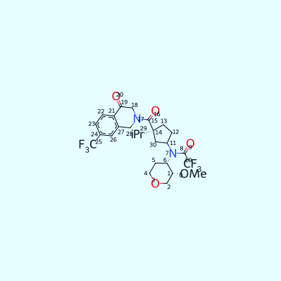 CO[C@@H]1COCC[C@@H]1N(C(=O)C(F)(F)F)C1CC[C@@](C(=O)N2CC(=O)c3ccc(C(F)(F)F)cc3C2)(C(C)C)C1